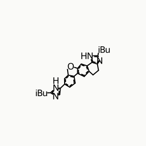 CCC(C)c1ncc(-c2ccc3c(c2)COc2cc4c(cc2-3)CCc2nc(C(C)CC)[nH]c2-4)[nH]1